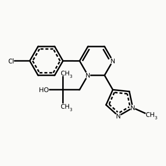 Cn1cc(C2N=CC=C(c3ccc(Cl)cc3)N2CC(C)(C)O)cn1